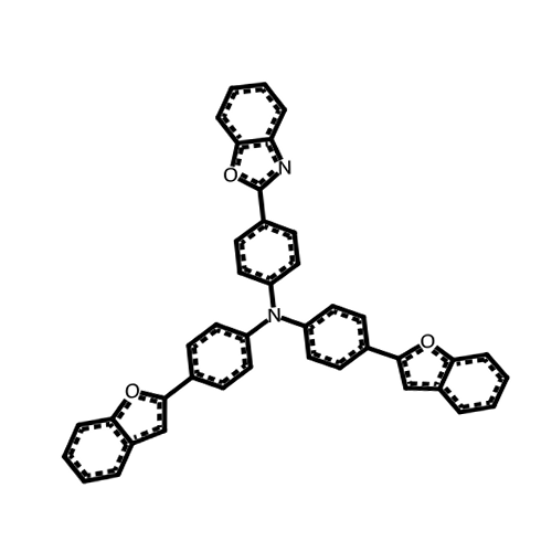 c1ccc2oc(-c3ccc(N(c4ccc(-c5cc6ccccc6o5)cc4)c4ccc(-c5nc6ccccc6o5)cc4)cc3)cc2c1